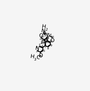 COc1cncc(-c2ccc3c(c2)[C@@]2(CCO3)N=C(N)OCC2(F)F)c1